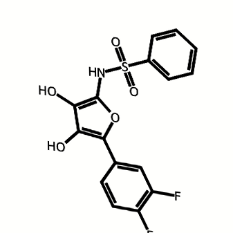 O=S(=O)(Nc1oc(-c2ccc(F)c(F)c2)c(O)c1O)c1ccccc1